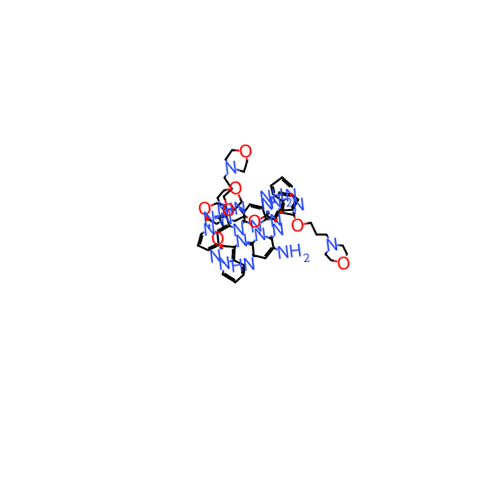 N=C1C=C(N)C(=Nc2c(OCCCN3CCOCC3)nn3ccccc23)N(N2C(=Nc3c(OCCN4CCOCC4)nn4ccccc34)C(=N)C=C(N)C2=Nc2c(OCCN3CCOCC3)nn3ccccc23)C1=Nc1c(OCCCN2CCOCC2)nn2ccccc12